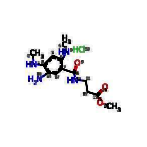 CNc1cc(NC)c(C(=O)NCCC(=O)OC)cc1N.Cl